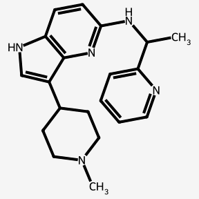 CC(Nc1ccc2[nH]cc(C3CCN(C)CC3)c2n1)c1ccccn1